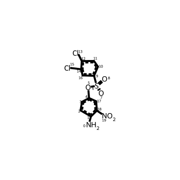 Nc1ccc(OS(=O)(=O)c2ccc(Cl)c(Cl)c2)cc1[N+](=O)[O-]